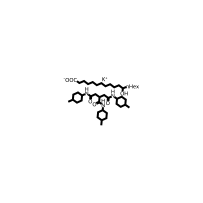 CC1CCC(NC(=O)CC(CC(=O)NC2CCC(C)CC2)C(=O)NC2CCC(C)CC2)CC1.CCCCCCC(O)CCCCCCCCCCC(=O)[O-].[K+]